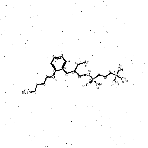 CCCCCCCCCCCCCCOc1ccccc1CC(COP(=O)(O)CCC[N+](C)(C)C)CC(C)=O